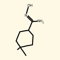 CC1(C)CCC(C(N)=NO)CC1